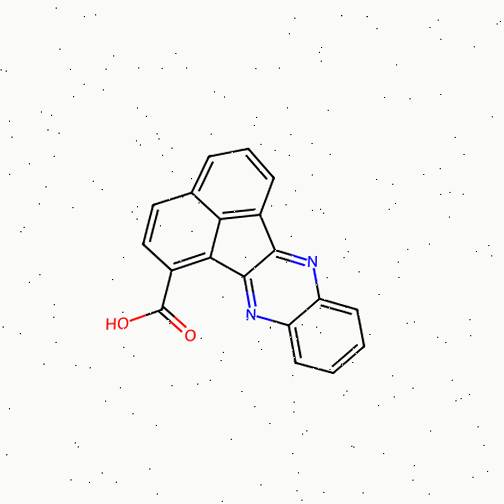 O=C(O)c1ccc2cccc3c2c1-c1nc2ccccc2nc1-3